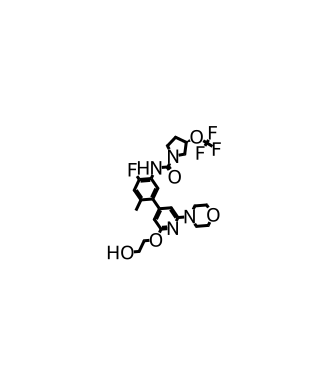 Cc1cc(F)c(NC(=O)N2CC[C@@H](OC(F)(F)F)C2)cc1-c1cc(OCCO)nc(N2CCOCC2)c1